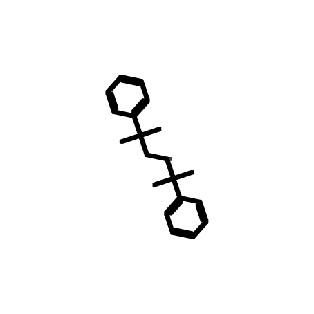 CC(C)([CH]CC(C)(C)c1ccccc1)c1ccccc1